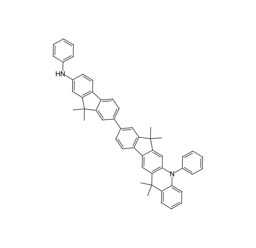 CC1(C)c2cc(Nc3ccccc3)ccc2-c2ccc(-c3ccc4c(c3)C(C)(C)c3cc5c(cc3-4)C(C)(C)c3ccccc3N5c3ccccc3)cc21